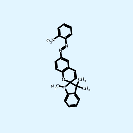 CN1c2ccccc2C(C)(C)C12C=Cc1cc(N=Nc3ccccc3[N+](=O)[O-])ccc1O2